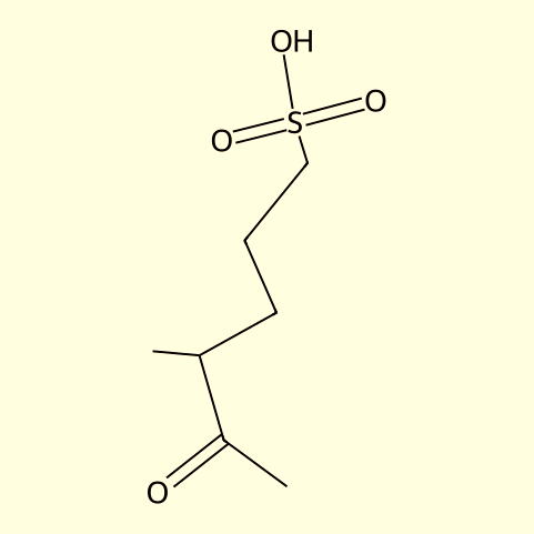 CC(=O)C(C)CCCS(=O)(=O)O